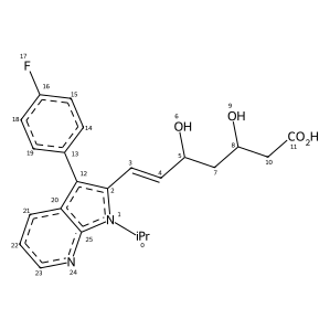 CC(C)n1c(/C=C/C(O)CC(O)CC(=O)O)c(-c2ccc(F)cc2)c2cccnc21